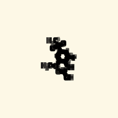 COc1cc(S(C)(=O)=O)cc(F)c1NC(=O)O